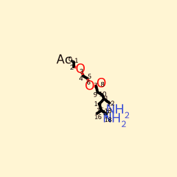 CC(=O)CCOCCOC(=O)CCC(CN)CC(C)CN